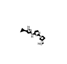 OC[C@H]1CCN(c2nccc(Nc3cc(C4CC4)[nH]n3)n2)C1